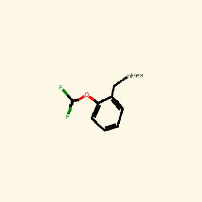 CCCCCCCc1ccccc1OC(F)F